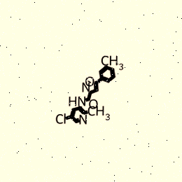 Cc1cccc(-c2cc(C(=O)Nc3cc(Cl)cnc3C)no2)c1